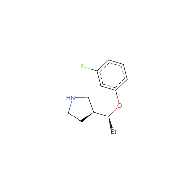 CC[C@H](Oc1cccc(F)c1)[C@H]1CCNC1